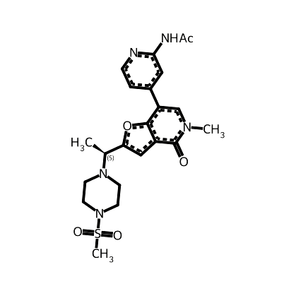 CC(=O)Nc1cc(-c2cn(C)c(=O)c3cc([C@H](C)N4CCN(S(C)(=O)=O)CC4)oc23)ccn1